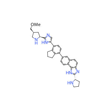 COC[C@@H]1CN[C@H](c2ncc(-c3ccc(-c4ccc5c(ccc6nc([C@@H]7CCCN7)[nH]c65)c4)c4c3CCC4)[nH]2)C1